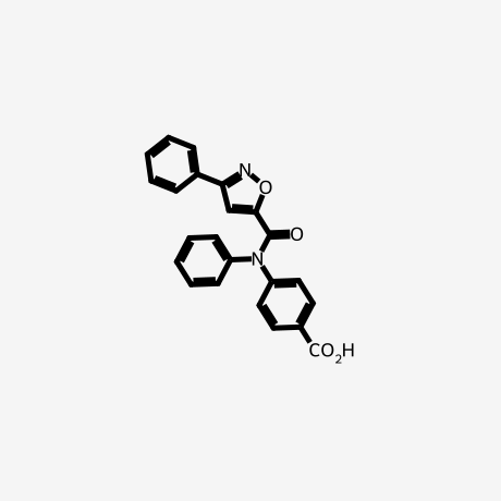 O=C(O)c1ccc(N(C(=O)c2cc(-c3ccccc3)no2)c2ccccc2)cc1